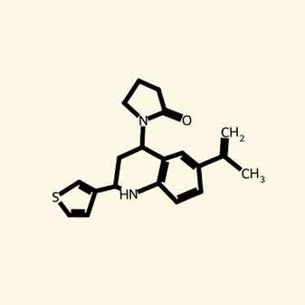 C=C(C)c1ccc2c(c1)C(N1CCCC1=O)CC(c1ccsc1)N2